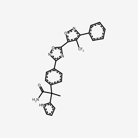 CC(C(N)=O)(c1ccc(-c2noc(-c3onc(-c4ccccc4)c3C(F)(F)F)n2)cc1)c1ccc[nH]1